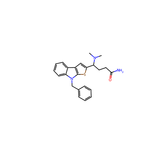 CN(C)C(CCC(N)=O)c1cc2c3ccccc3n(Cc3ccccc3)c2s1